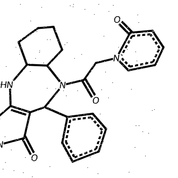 O=C1NCC2=C1C(c1ccccc1)N(C(=O)Cn1ccccc1=O)C1CCCCC1N2